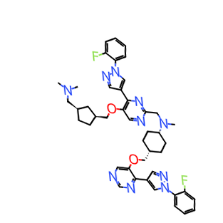 CN(C)C[C@@H]1CC[C@H](COc2cnc(CN(C)[C@H]3CC[C@@H](COc4cncnc4-c4cnn(-c5ccccc5F)c4)CC3)nc2-c2cnn(-c3ccccc3F)c2)C1